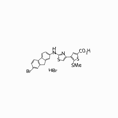 Br.CSc1sc(C(=O)O)cc1-c1csc(Nc2ccc3c(c2)Cc2cc(Br)ccc2-3)n1